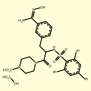 CCOC(=O)N1CCN(C(=O)C(Cc2cccc(/C(N)=N\O)c2)NS(=O)(=O)c2c(C(C)C)cc(C(C)C)cc2C(C)C)CC1.O=S(=O)(O)O